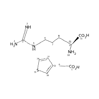 CC(=O)O.N=C(N)NCCC[C@H](N)C(=O)O.c1ccsc1